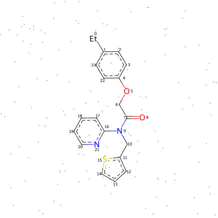 CCc1ccc(OCC(=O)N(Cc2cccs2)c2ccccn2)cc1